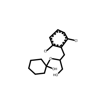 OCC(Cc1c(Cl)cccc1Cl)OC1(O)CCCCC1